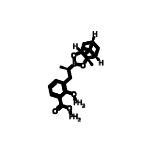 C[C@H](Cc1cccc(C(=O)OP)c1OP)B1O[C@@H]2C[C@@H]3C[C@@H](C3(C)C)[C@]2(C)O1